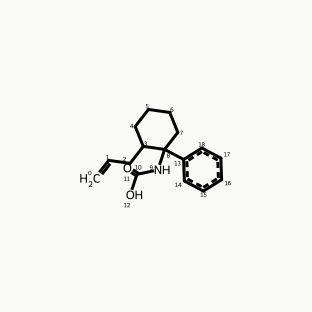 C=CCC1CCCCC1(NC(=O)O)c1ccccc1